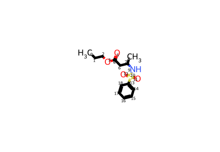 CCCOC(=O)CC(C)NS(=O)(=O)c1ccccc1